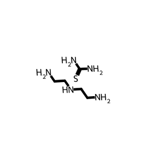 NC(N)=S.NCCNCCN